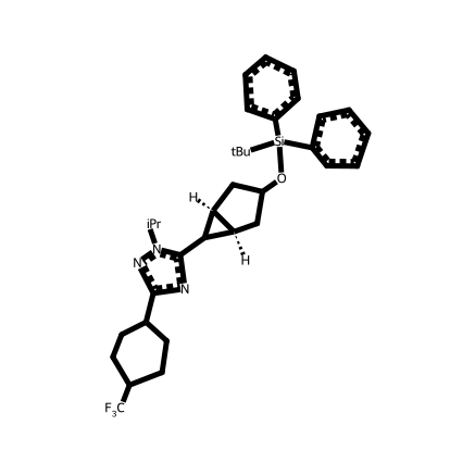 CC(C)n1nc(C2CCC(C(F)(F)F)CC2)nc1C1[C@H]2CC(O[Si](c3ccccc3)(c3ccccc3)C(C)(C)C)C[C@@H]12